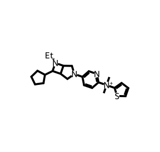 CCN1C2CN(c3ccc([N+](C)(C)c4cccs4)nc3)CC2C1C1CCCC1